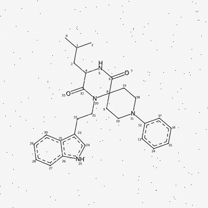 CC(C)CC1NC(=O)C2(CCN(c3ccccc3)CC2)N(CCc2c[nH]c3ccccc23)C1=O